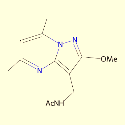 COc1nn2c(C)cc(C)nc2c1CNC(C)=O